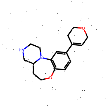 C1=C(c2ccc3c(c2)N2CCNCC2CCO3)CCOC1